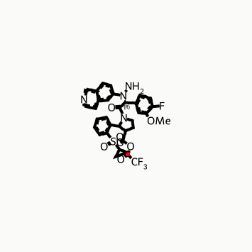 COc1cc([C@H](C(=O)N2CCC(C(=O)OC(=O)C(F)(F)F)C2c2ccccc2S(=O)(=O)C2CC2)N(N)c2ccc3cnccc3c2)ccc1F